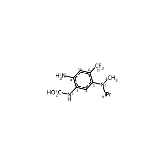 CC(C)N(C)c1cc(NC(=O)O)c(N)cc1C(F)(F)F